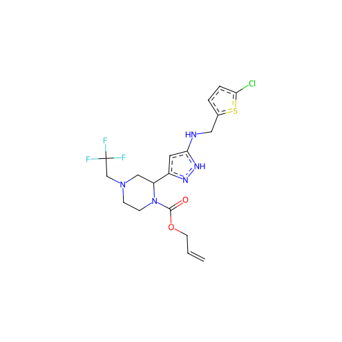 C=CCOC(=O)N1CCN(CC(F)(F)F)CC1c1cc(NCc2ccc(Cl)s2)[nH]n1